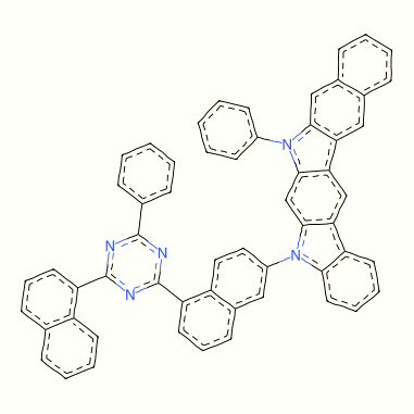 c1ccc(-c2nc(-c3cccc4ccccc34)nc(-c3cccc4cc(-n5c6ccccc6c6cc7c8cc9ccccc9cc8n(-c8ccccc8)c7cc65)ccc34)n2)cc1